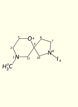 CN1CCOC2(CCN(I)C2)C1